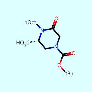 CCCCCCCCN1C(=O)CN(C(=O)OC(C)(C)C)C[C@@H]1C(=O)O